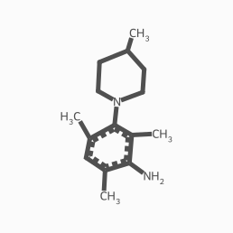 Cc1cc(C)c(N2CCC(C)CC2)c(C)c1N